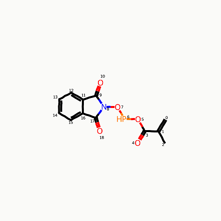 C=C(C)C(=O)OPON1C(=O)c2ccccc2C1=O